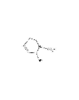 CCCC1C=CCCN1C(=O)O